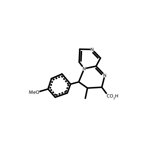 COc1ccc(C2C(C)C(C(=O)O)N=C3C=NC=CN32)cc1